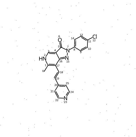 Cc1[nH]cc2c(=O)n(-c3ccc(Cl)cc3)nc-2c1/C=C/c1ccncc1